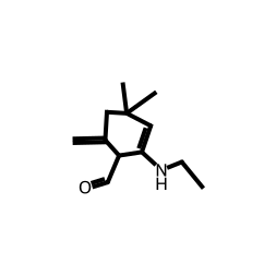 C=C1CC(C)(C)C=C(NCC)C1C=O